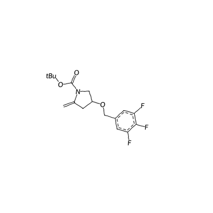 C=C1CC(OCc2cc(F)c(F)c(F)c2)CN1C(=O)OC(C)(C)C